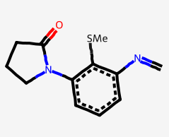 C=Nc1cccc(N2CCCC2=O)c1SC